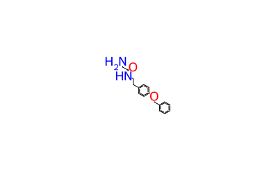 NCC(=O)NCCc1ccc(OCc2ccccc2)cc1